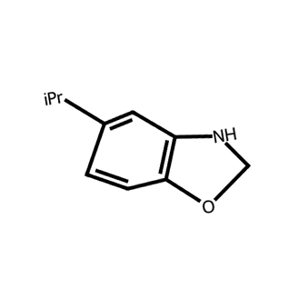 CC(C)c1ccc2c(c1)NCO2